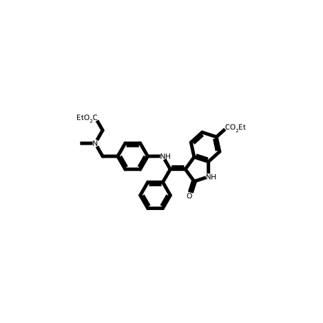 CCOC(=O)CN(C)Cc1ccc(NC(=C2C(=O)Nc3cc(C(=O)OCC)ccc32)c2ccccc2)cc1